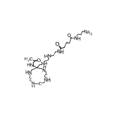 CC(=O)NC1(CNCCNCCNC(=O)CCCC(=O)NCCCN)CNCCNCCCNCCNC1